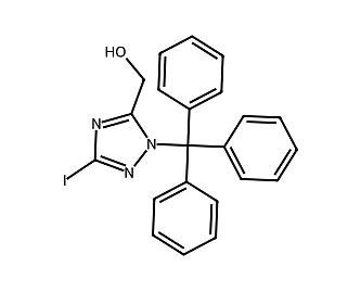 OCc1nc(I)nn1C(c1ccccc1)(c1ccccc1)c1ccccc1